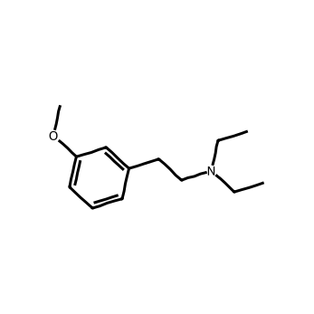 CCN(CC)CCc1cccc(OC)c1